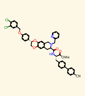 COC(=O)[C@H](Cc1ccc(-c2ccc(C#N)cc2)cc1)NC(=O)C1Cc2cc3c(cc2CN1Cc1ccccn1)O[C@@H](c1ccc(OCc2ccc(Cl)c(Cl)c2)cc1)CO3